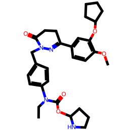 CCN(C(=O)OC1CCCN1)c1ccc(CN2N=C(c3ccc(OC)c(OC4CCCC4)c3)CCC2=O)cc1